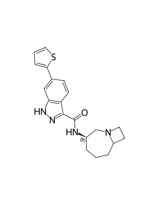 O=C(N[C@@H]1CCCC2CCN2C1)c1n[nH]c2cc(-c3cccs3)ccc12